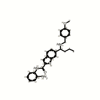 CCCC(NCc1ccc(OC)cc1)c1ccc2cc(C(=O)Nc3ccccc3N)sc2c1